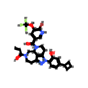 C=CC(=O)N1CCc2nn(-c3ccc(C4CCC4)cc3O)c3c2C(C1)N(C(=O)c1cnc(Br)c(OC(F)(F)F)c1)CC3